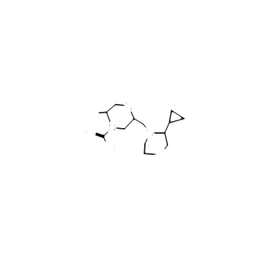 CC1CNC(CN2CCOCC2C2CC2)CN1C(=O)O